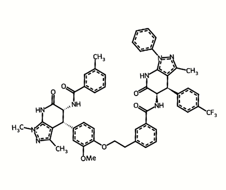 COc1cc([C@@H]2c3c(C)nn(C)c3NC(=O)[C@@H]2NC(=O)c2cccc(C)c2)ccc1OCCc1cccc(C(=O)N[C@H]2C(=O)Nc3c(c(C)nn3-c3ccccc3)[C@H]2c2ccc(C(F)(F)F)cc2)c1